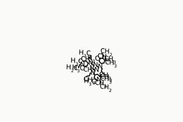 C=CCC1C(C)(C)CC(N(CCCC)c2nc(N(CCCC)C3CC(C)(C)N(CC=C)C(C)(C)C3)nc(N(CCCC)C3CC(C)(C)N(CC=C)C(C)(C)C3)n2)CC1(C)C